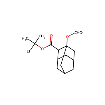 CCC(C)(C)OC(=O)C1C2CC3CC(C2)CC1(O[C]=O)C3